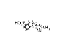 Nc1nccc(Oc2ccc3c(C(=O)O)nccc3c2)n1